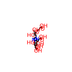 C[C@H](O)[C@](O)(CCCC(=O)O)C(O)(CCCC(=O)O)c1cnc(C[C@H](O)[C@@H](CO)OCCCC(=O)O)cn1